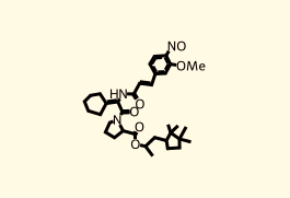 COc1cc(/C=C/C(=O)NC(C(=O)N2CCCC2C(=O)OC(C)CC2CCC(C)(C)C2(C)C)=C2CCCCC2)ccc1N=O